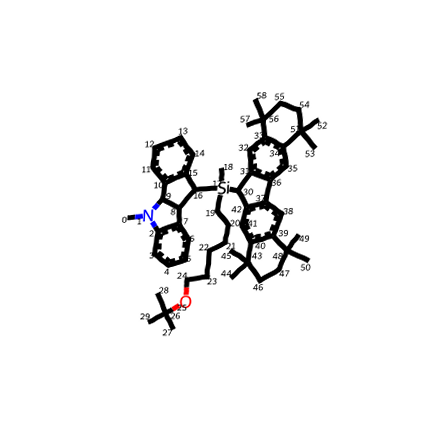 CN1c2ccccc2C2C1c1ccccc1C2[Si](C)(CCCCCCOC(C)(C)C)C1c2cc3c(cc2-c2cc4c(cc21)C(C)(C)CCC4(C)C)C(C)(C)CCC3(C)C